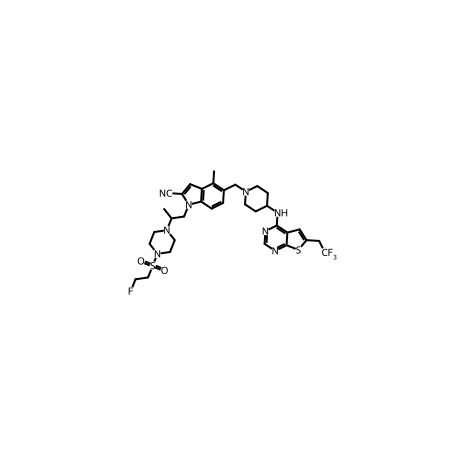 Cc1c(CN2CCC(Nc3ncnc4sc(CC(F)(F)F)cc34)CC2)ccc2c1cc(C#N)n2CC(C)N1CCN(S(=O)(=O)CCF)CC1